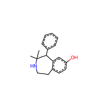 CC1(C)NCCc2ccc(O)cc2C1c1ccccc1